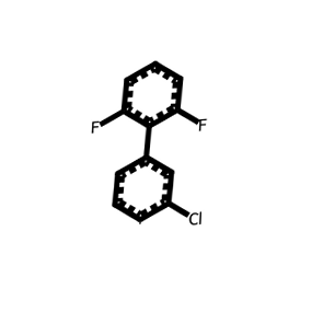 Fc1cccc(F)c1-c1cc[c]c(Cl)c1